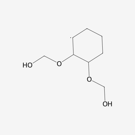 OCOC1[CH]CCCC1OCO